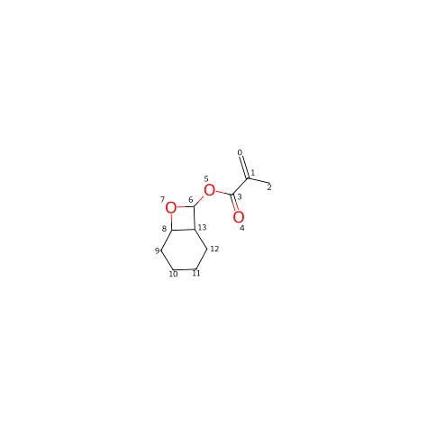 C=C(C)C(=O)OC1OC2CCCCC21